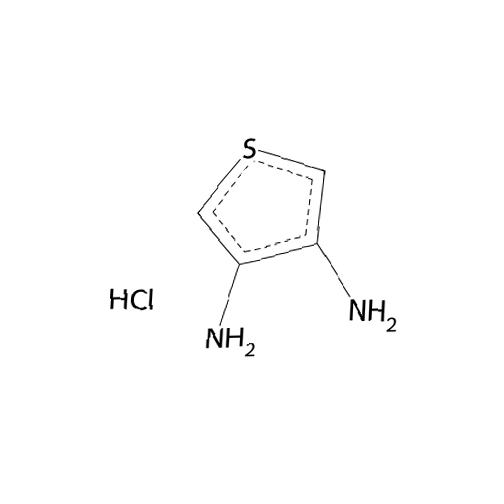 Cl.Nc1cscc1N